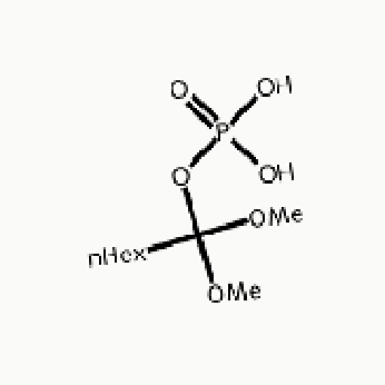 CCCCCCC(OC)(OC)OP(=O)(O)O